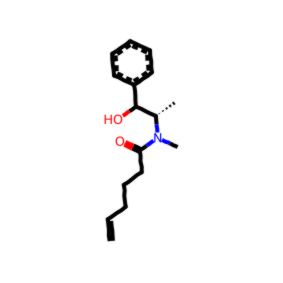 C=CCCCC(=O)N(C)[C@@H](C)C(O)c1ccccc1